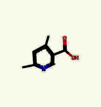 Cc1cc(C)c(C(=O)O)[c]n1